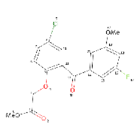 COC(=O)COc1ccc(Cl)cc1C(=O)c1cc(F)cc(OC)c1